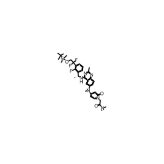 Cc1nc(N[C@H](C)c2cccc(C(F)(F)CO[Si](C)(C)C(C)(C)C)c2F)c2cc(N(C)c3ccn(CC(=O)N(C)C)c(=O)c3)ccc2n1